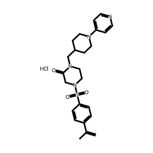 C=C(C)c1ccc(S(=O)(=O)N2CCN(CC3CCN(c4ccncc4)CC3)C(=O)C2)cc1.Cl